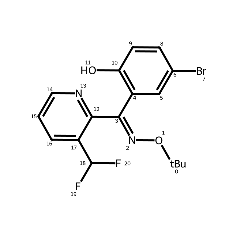 CC(C)(C)ON=C(c1cc(Br)ccc1O)c1ncccc1C(F)F